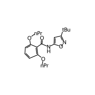 CCCOc1cccc(OCCC)c1C(=O)Nc1cc(C(C)(C)C)no1